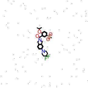 CC(C)Oc1ccc(S(C)(=O)=O)cc1C(=O)N1Cc2ccc(N3CCC(F)(F)CC3)cc2C1